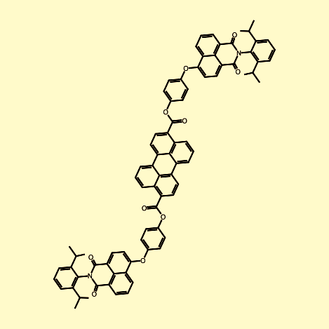 CC(C)c1cccc(C(C)C)c1N1C(=O)c2cccc3c(Oc4ccc(OC(=O)c5ccc6c7cccc8c(C(=O)Oc9ccc(Oc%10ccc%11c%12c(cccc%10%12)C(=O)N(c%10c(C(C)C)cccc%10C(C)C)C%11=O)cc9)ccc(c9cccc5c96)c87)cc4)ccc(c23)C1=O